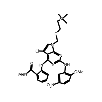 CNC(=O)c1ccccc1Nc1nc(Nc2cc([N+](=O)[O-])ccc2OC)nc2c1c(Cl)cn2COCC[Si](C)(C)C